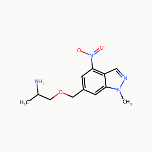 CC(N)COCc1cc([N+](=O)[O-])c2cnn(C)c2c1